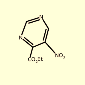 CCOC(=O)c1ncncc1[N+](=O)[O-]